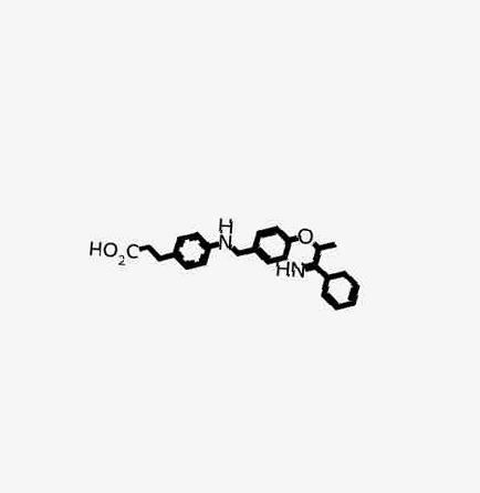 CC(OC1C=CC(CNc2ccc(CCC(=O)O)cc2)=CC1)C(=N)C1C=CC=CC1